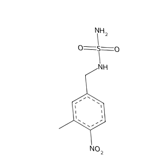 Cc1cc(CNS(N)(=O)=O)ccc1[N+](=O)[O-]